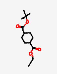 CCOC(=O)C1CCC(C(=O)OC(C)(C)C)CC1